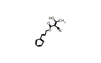 C/C(O)=C(\C#N)C(=O)OCC=Cc1ccccc1